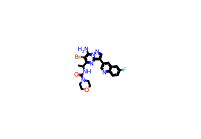 CC(NC(=O)N1CCOCC1)c1nc2c(-c3cnc4ccc(F)cc4c3)cnn2c(N)c1Br